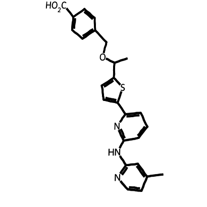 Cc1ccnc(Nc2cccc(-c3ccc(C(C)OCc4ccc(C(=O)O)cc4)s3)n2)c1